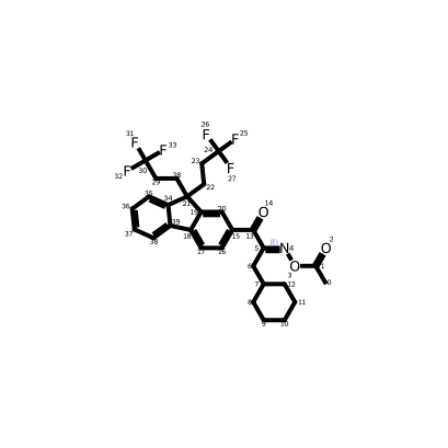 CC(=O)O/N=C(\CC1CCCCC1)C(=O)c1ccc2c(c1)C(CCC(F)(F)F)(CCC(F)(F)F)c1ccccc1-2